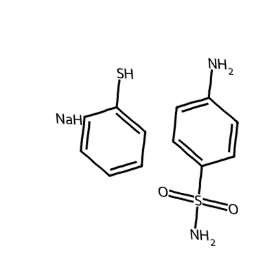 Nc1ccc(S(N)(=O)=O)cc1.Sc1ccccc1.[NaH]